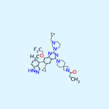 C=CC(=O)N1CC2(CCN(c3nc(N4CCCN(CC5CC5)C4)nc4c(OCC(F)(F)F)c(-c5c(C)ccc6[nH]ncc56)c(C5CC5)cc34)CC2)C1